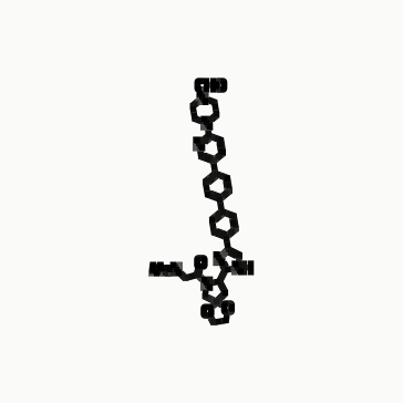 CNCC(=O)N1CC2(CC1c1nc(-c3ccc(-c4ccc(-c5ccc(N6CCN(C=O)CC6)nc5)cc4)cc3)c[nH]1)OCCO2